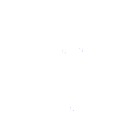 N#Cc1cccc(-c2cn3cccc(Cl)c3n2)c1